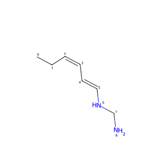 CC/C=C\C=C\NCN